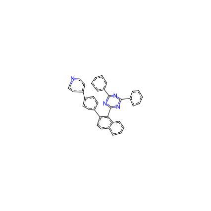 c1ccc(-c2nc(-c3ccccc3)nc(-c3c(-c4ccc(-c5ccncc5)cc4)ccc4ccccc34)n2)cc1